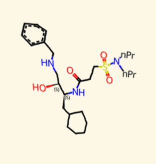 CCCN(CCC)S(=O)(=O)CCC(=O)N[C@@H](CC1CCCCC1)[C@@H](O)CNCc1ccccc1